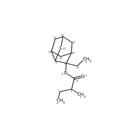 CCC(C)C(=O)OC1(CC)C2CC3CC(C2)C1C3